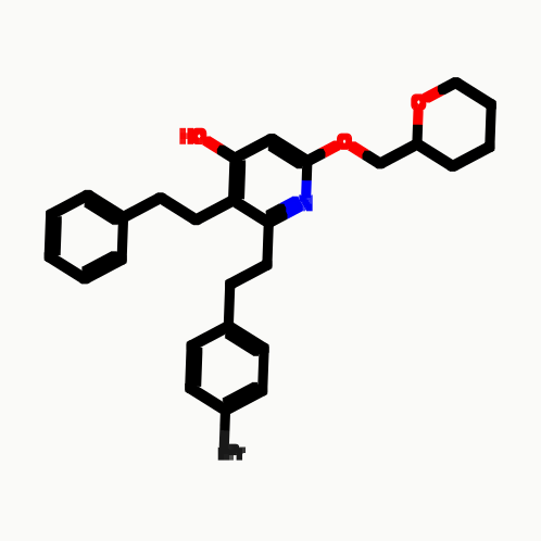 CCCc1ccc(CCc2nc(OCC3CCCCO3)cc(O)c2CCc2ccccc2)cc1